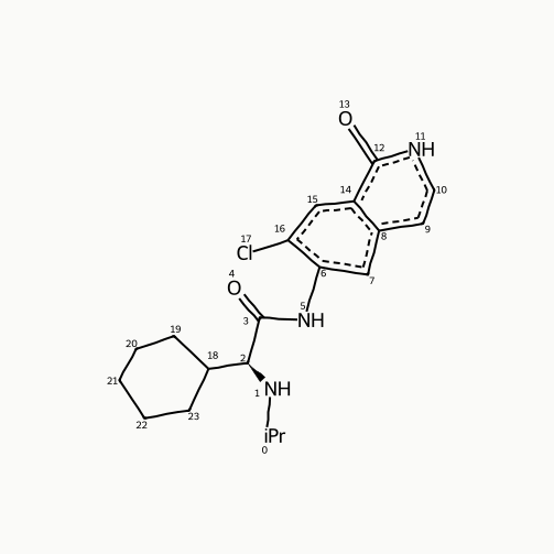 CC(C)N[C@H](C(=O)Nc1cc2cc[nH]c(=O)c2cc1Cl)C1CCCCC1